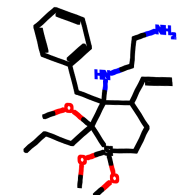 C=CC1CC[Si](OC)(OC)C(CCC)(OC)C1(Cc1ccccc1)NCCN